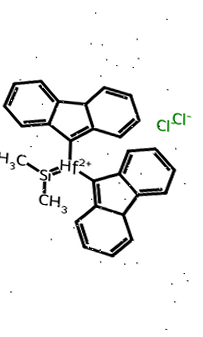 C[Si](C)=[Hf+2]([C]1=C2C=CC=CC2c2ccccc21)[C]1=C2C=CC=CC2c2ccccc21.[Cl-].[Cl-]